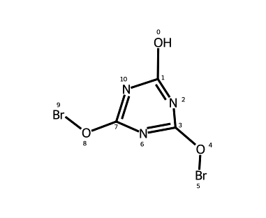 Oc1nc(OBr)nc(OBr)n1